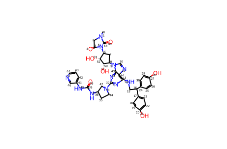 CN1CC(=O)N([C@H]2C[C@@H](n3cnc4c(NCC(c5ccc(O)cc5)c5ccc(O)cc5)nc(N5CCC(NC(=O)Nc6cccnc6)C5)nc43)[C@H](O)[C@@H]2O)C1=O